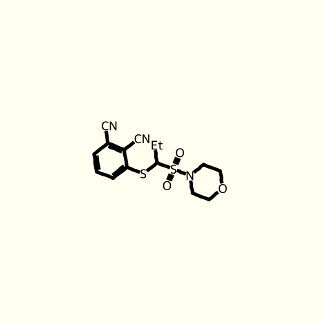 CCC(Sc1cccc(C#N)c1C#N)S(=O)(=O)N1CCOCC1